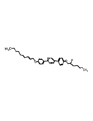 CCCCCCCCCCOc1ccc(-c2ncc(-c3ccc(OCC(F)CCCCC)cc3)cn2)cc1